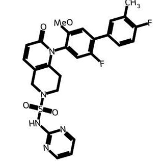 COc1cc(-c2ccc(F)c(C)c2)c(F)cc1-n1c2c(ccc1=O)CN(S(=O)(=O)Nc1ncccn1)CC2